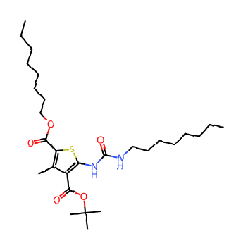 CCCCCCCCNC(=O)Nc1sc(C(=O)OCCCCCCCC)c(C)c1C(=O)OC(C)(C)C